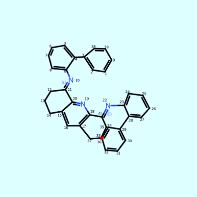 c1ccc(-c2ccccc2/N=C2\CCCc3cc4c(nc32)/C(=N/c2ccccc2-c2ccccc2)CCC4)cc1